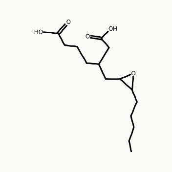 CCCCCC1OC1CC(CCCC(=O)O)CC(=O)O